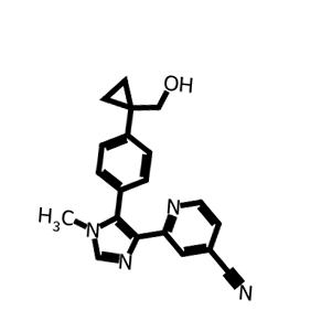 Cn1cnc(-c2cc(C#N)ccn2)c1-c1ccc(C2(CO)CC2)cc1